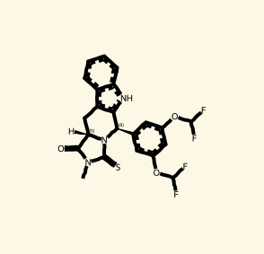 CN1C(=O)[C@@H]2Cc3c([nH]c4ccccc34)[C@@H](c3cc(OC(F)F)cc(OC(F)F)c3)N2C1=S